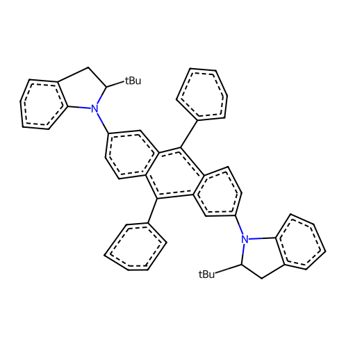 CC(C)(C)C1Cc2ccccc2N1c1ccc2c(-c3ccccc3)c3cc(N4c5ccccc5CC4C(C)(C)C)ccc3c(-c3ccccc3)c2c1